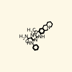 COc1cc2c(cc1Nc1nnc(C(N)=O)c(Nc3ccccc3)n1)CN1CCCCC1C2